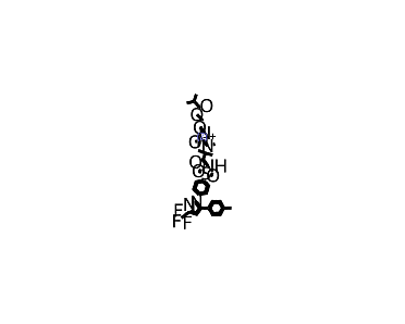 Cc1ccc(-c2cc(C(F)(F)F)nn2-c2ccc(S(=O)(=O)NC(=O)C(C)(C)N(C)/[N+]([O-])=N/OCOC(=O)C(C)C)cc2)cc1